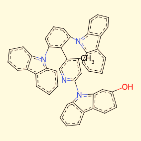 Cc1cc(-n2c3ccccc3c3ccc(O)cc32)ncc1-c1c(-n2c3ccccc3c3ccccc32)cccc1-n1c2ccccc2c2ccccc21